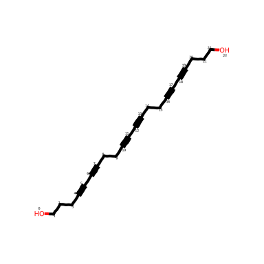 OCCCC#CC#CCCC#CC#CCCC#CC#CCCCO